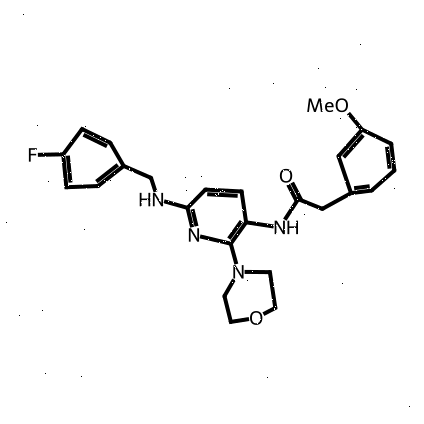 COc1cccc(CC(=O)Nc2ccc(NCc3ccc(F)cc3)nc2N2CCOCC2)c1